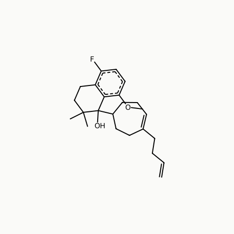 C=CCCC1=CCCC(C2(O)c3c(OC)ccc(F)c3CCC2(C)C)CC1